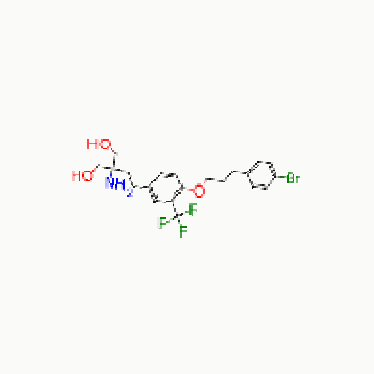 NC(CO)(CO)CCc1ccc(OCCCc2ccc(Br)cc2)c(C(F)(F)F)c1